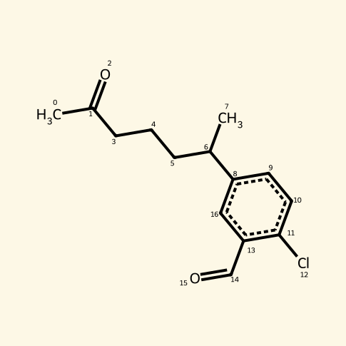 CC(=O)CCCC(C)c1ccc(Cl)c(C=O)c1